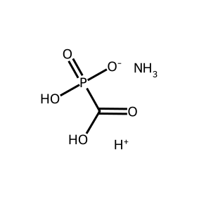 N.O=C(O)P(=O)([O-])O.[H+]